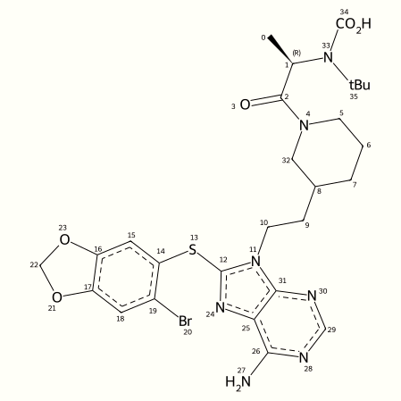 C[C@H](C(=O)N1CCCC(CCn2c(Sc3cc4c(cc3Br)OCO4)nc3c(N)ncnc32)C1)N(C(=O)O)C(C)(C)C